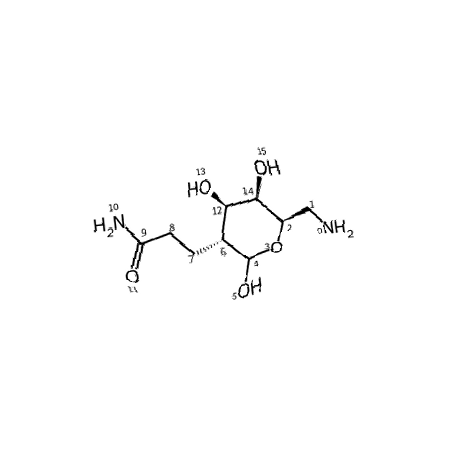 NC[C@H]1OC(O)[C@H](CCC(N)=O)[C@@H](O)[C@H]1O